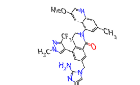 COc1cnc2cc(C)cc(N3CCc4c(cc(Cn5ccnc5N)cc4-c4cn(C)nc4C(F)(F)F)C3=O)c2c1